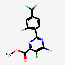 COC(=O)c1nc(-c2ccc(C(F)F)cc2F)nc(N)c1Cl